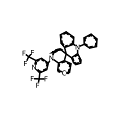 FC(F)(F)c1cc(N2c3ccccc3C3(c4ccccc4N(c4ccccc4)c4ccccc43)c3ccccc32)cc(C(F)(F)F)n1